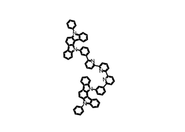 c1ccc(-n2c3ccccc3c3c2ccc2c4ccccc4n(-c4cccc(-c5cccc(-c6cccc(-c7cccc(-c8cccc(-n9c%10ccccc%10c%10ccc%11c(c%12ccccc%12n%11-c%11ccccc%11)c%109)c8)n7)n6)n5)c4)c23)cc1